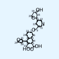 O=C(O)c1cc2cc(OCc3cncc(C4CC(O)CCO4)c3)ccc2c(-c2ccoc2)c1CO